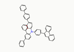 c1ccc(-c2ccc(-c3ccc(N(c4ccc(-c5cc6ccccc6c6ccccc56)cc4)c4ccc(-c5ccccc5)cc4-c4ccccc4)cc3)cc2)cc1